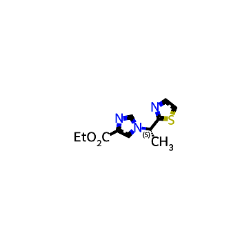 CCOC(=O)c1cn([C@@H](C)c2nccs2)cn1